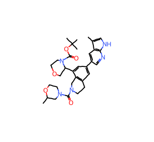 Cc1c[nH]c2ncc(-c3cc4c(c(C5COCCN5C(=O)OC(C)(C)C)c3)CN(C(=O)N3CCOC(C)C3)CC4)cc12